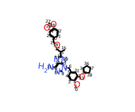 COc1ccc(Cn2cnc(N)c3nc(C(C)COCc4ccc5c(c4)OCO5)nc2-3)cc1OC1CCCC1